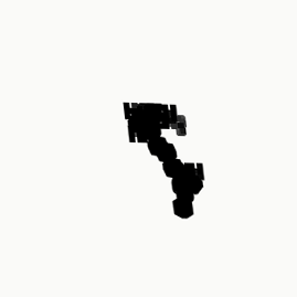 C=C(OC(C)(C)C)N1CCC[C@H]1c1ncc(-c2ccc3cc(-c4ccc5nc([C@@H]6CCCN6C(=O)OCC6C=CC=CC6)[nH]c5c4)ccc3c2)[nH]1